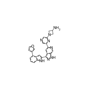 NC1CN(c2cncc(-c3cc4c(-c5cc6c(-c7ccoc7)cccc6[nH]5)n[nH]c4cn3)n2)C1